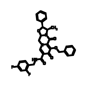 C[C@@H]1[C@H](c2ccccc2)OC2Cn3cc(C(=O)NCc4ccc(F)cc4F)c(=O)c(OCc4ccccc4)c3C(=O)N21